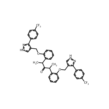 CC(C(=O)C(C)c1ccccc1OCc1c[nH]nc1-c1ccc(C(F)(F)F)cc1)c1ccccc1OCc1c[nH]nc1-c1ccc(C(F)(F)F)cc1